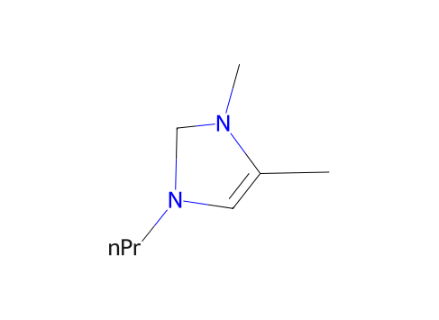 CCCN1C=C(C)N(C)C1